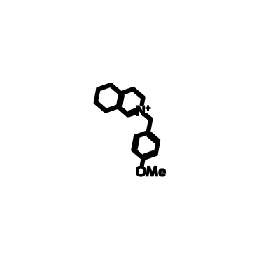 COc1ccc(C[N+]2=CC3=C(CCCC3)CC2)cc1